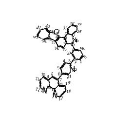 c1cc(-c2ccc(-c3cc4cccnc4c4ncccc34)cn2)cc(-c2nc3ccccc3c3c2ccc2c4ccccc4oc23)c1